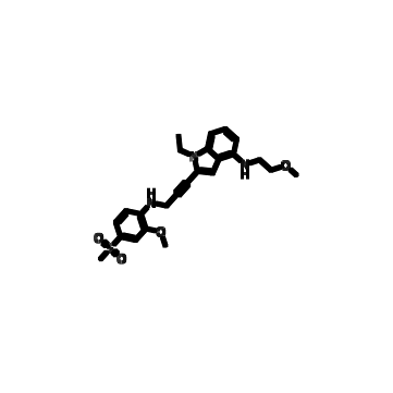 CCn1c(C#CCNc2ccc(S(C)(=O)=O)cc2OC)cc2c(NCCOC)cccc21